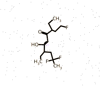 CCC(CCF)C(=O)/C=C(\O)C(CC)CC(C)(F)F